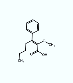 CCCCC(=C(OC)C(=O)O)c1ccccc1